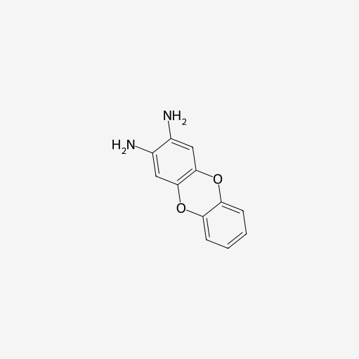 Nc1cc2c(cc1N)Oc1ccccc1O2